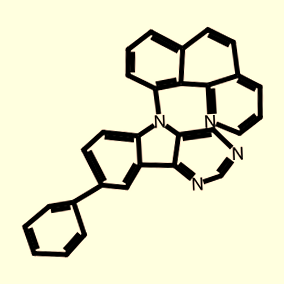 c1ccc(-c2ccc3c(c2)c2ncncc2n3-c2cccc3ccc4cccnc4c23)cc1